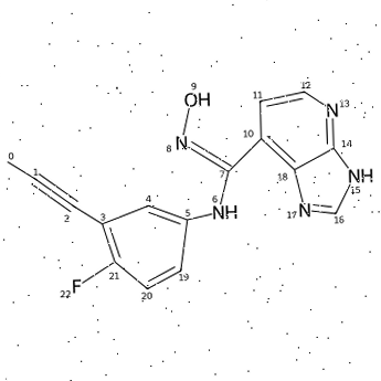 CC#Cc1cc(N/C(=N/O)c2ccnc3[nH]cnc23)ccc1F